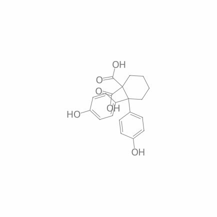 O=C(O)C1(C(=O)O)CCCCC1(c1ccc(O)cc1)c1ccc(O)cc1